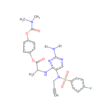 C#CCN(c1cnc(N(CC)CC)nc1NC(C)C(=O)Oc1ccc(OC(=O)N(C)C)cc1)S(=O)(=O)c1ccc(F)cc1